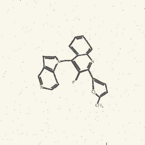 Cc1ccc(-c2nc3ccccc3c(-n3ccc4cnccc43)c2F)o1